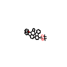 CC1(C)OB(c2cccc3c2-c2ccccc2C32c3ccccc3C3(c4ccccc4)c4ccccc4-c4cccc2c43)OC1(C)C